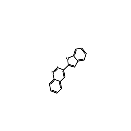 [c]1nc2ccccc2cc1-c1cc2ccccc2o1